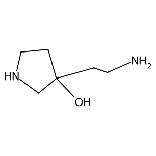 NCCC1(O)CCNC1